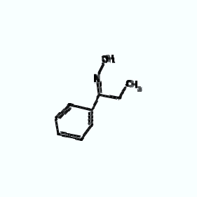 CCC(=NO)c1ccccc1